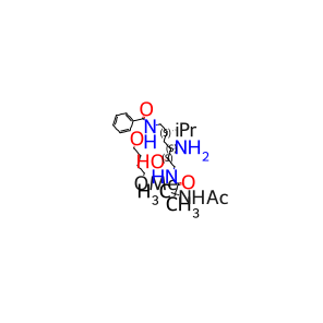 COCCCCOc1ccccc1C(=O)NC[C@@H](C[C@H](N)[C@@H](O)CNC(=O)C(C)(C)NC(C)=O)C(C)C